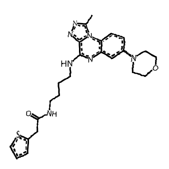 Cc1nnc2c(NCCCCNC(=O)Cc3cccs3)nc3cc(N4CCOCC4)ccc3n12